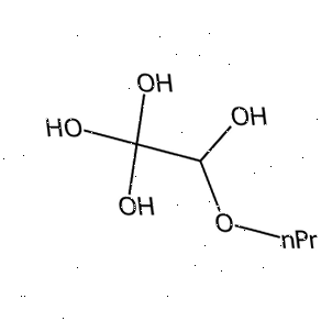 CCCOC(O)C(O)(O)O